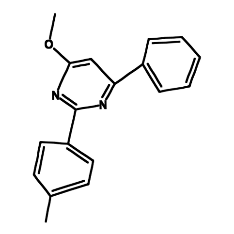 COc1cc(-c2ccccc2)nc(-c2ccc(C)cc2)n1